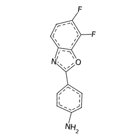 Nc1ccc(-c2nc3ccc(F)c(F)c3o2)cc1